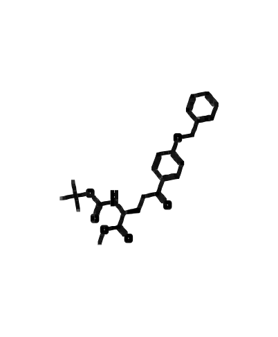 COC(=O)[C@H](CCC(=O)c1ccc(OCc2ccccc2)cc1)NC(=O)OC(C)(C)C